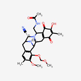 COCOc1c(OC)c(C)cc2c1C1C3CC4=C(C(=O)C(O)=C(C)C4=O)C(CNC(C)=O)N3[C@@H](C#N)C(C2)N1C